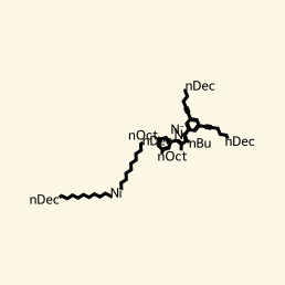 CCCCCCCCCCCCCC#Cc1cc(C#CCCCCCCCCCCCCC)cc(C2=C(CCCC)C(C)=C(c3cc(CCCCCCCC)cc(CCCCCCCC)c3)[N+]2=[N-])c1.CCCCCCCCCCCCCCCCCCC[CH2][Ni][CH2]CCCCCCCCCCCCCCCCCCC